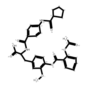 COc1cc(CC(NC(=O)c2ccc(NC(=O)C3CCCC3)cc2)C(=O)O)ccc1OC(=O)c1ccccc1OC(C)=O